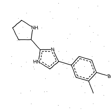 Cc1cc(-c2c[nH]c(C3CCCN3)n2)ccc1Br